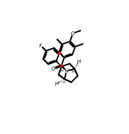 COc1c(C)cc(C(=O)N2[C@@H]3CC[C@H]2C[C@@H](c2ccc(F)cc2)C3)cc1C